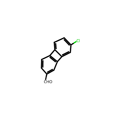 O=Cc1ccc2c(c1)-c1cc(Cl)ccc1-2